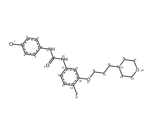 O=C(Nc1ccc(Cl)cc1)Nc1ccc(F)c(OCCCN2CCOCC2)c1